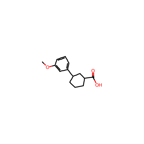 COc1cccc(C2CCCC(C(=O)O)C2)c1